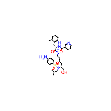 Cc1ccccc1C[C@H](NC(=O)c1cccnc1)C(=O)NCCCC[C@@H](CO)N(CC(C)C)S(=O)(=O)c1ccc(N)cc1